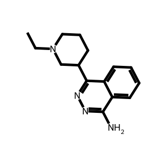 CCN1CCCC(c2nnc(N)c3ccccc23)C1